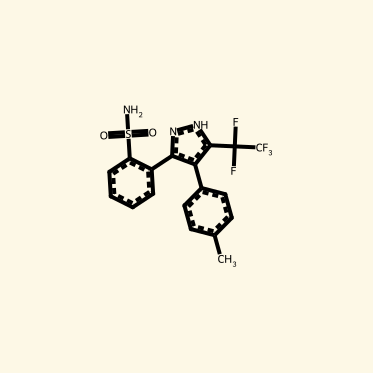 Cc1ccc(-c2c(-c3ccccc3S(N)(=O)=O)n[nH]c2C(F)(F)C(F)(F)F)cc1